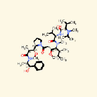 CC[C@H](C)[C@@H]([C@@H](CC(=O)N1CCC[C@H]1[C@H](OC)[C@@H](C)C(=O)N[C@H](C)[C@@H](O)c1ccccc1)OC)N(C)C(=O)[C@@H](NC(O)[C@H](C(C)C)N(C)C(C)C)C(C)C